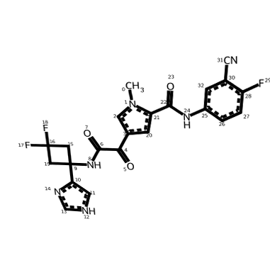 Cn1cc(C(=O)C(=O)NC2(c3c[nH]cn3)CC(F)(F)C2)cc1C(=O)Nc1ccc(F)c(C#N)c1